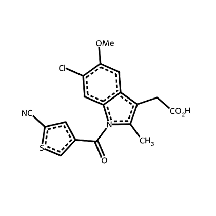 COc1cc2c(CC(=O)O)c(C)n(C(=O)c3csc(C#N)c3)c2cc1Cl